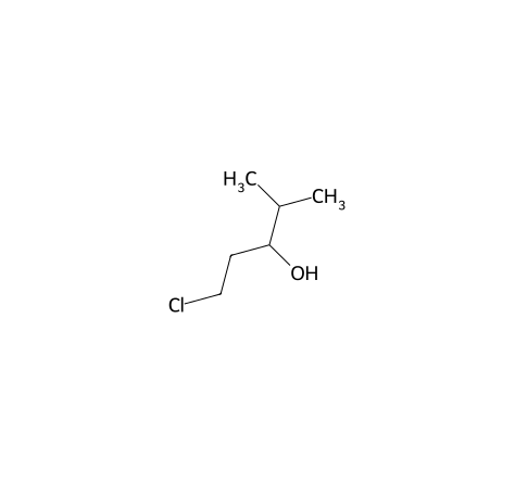 CC(C)C(O)CCCl